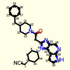 N#CC[C@H]1CC[C@H](n2c(CC(=O)N3CCC(Cc4ccccc4)CC3)nc3cnc4[nH]ccc4c32)CC1